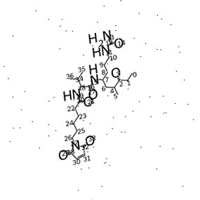 CCC(=O)C(C)CC(CCCNC(N)=O)NC(=O)C(NC(=O)CCCCCN1C(=O)C=CC1=O)C(C)C